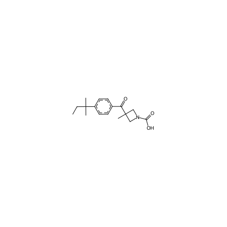 CCC(C)(C)c1ccc(C(=O)C2(C)CN(C(=O)O)C2)cc1